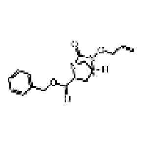 C=CCON1C(=O)N2C[C@@H]1CC2C(=O)OCc1ccccc1